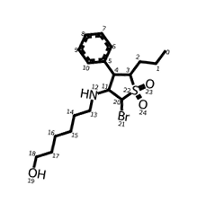 CCCC1C(c2ccccc2)C(NCCCCCCO)C(Br)S1(=O)=O